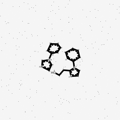 OCCc1nccn1-c1ccccc1.c1ccc(-n2ccnc2)cc1